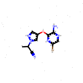 CC(C#N)n1cc(Oc2nc(Br)cnc2N)cn1